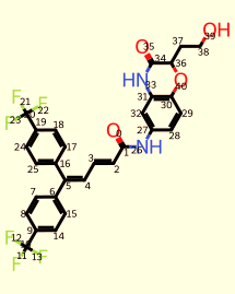 O=C(C=CC=C(c1ccc(C(F)(F)F)cc1)c1ccc(C(F)(F)F)cc1)Nc1ccc2c(c1)NC(=O)C(CCO)O2